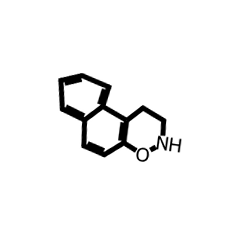 c1ccc2c3c(ccc2c1)ONCC3